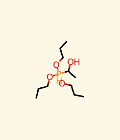 CCCO[PH](OCCC)(OCCC)C(C)O